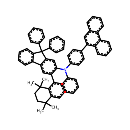 CC1(C)CCC(C)(C)c2c(-c3cc4c(cc3N(c3ccccc3)c3ccc(-c5cc6ccccc6c6ccccc56)cc3)C(c3ccccc3)(c3ccccc3)c3ccccc3-4)cccc21